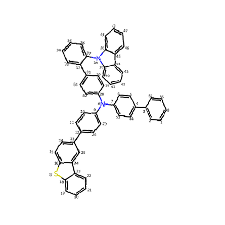 c1ccc(-c2ccc(N(c3ccc(-c4ccc5sc6ccccc6c5c4)cc3)c3ccc(-c4ccccc4-n4c5ccccc5c5ccccc54)cc3)cc2)cc1